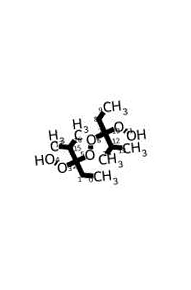 CCC(OO)(OOC(CC)(OO)C(C)C)C(C)C